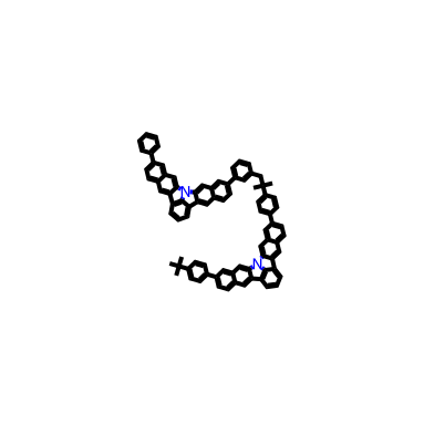 CC(C)(C)c1ccc(-c2ccc3cc4c5cccc6c7cc8ccc(-c9ccc(C(C)(C)Cc%10cccc(-c%11ccc%12cc%13c%14cccc%15c%16cc%17ccc(-c%18ccccc%18)cc%17cc%16n(c%13cc%12c%11)c%15%14)c%10)cc9)cc8cc7n(c4cc3c2)c56)cc1